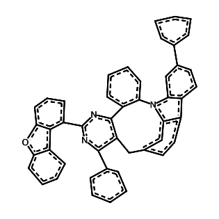 c1ccc(-c2ccc3c4ccc5cc4n(c3c2)-c2ccccc2-c2nc(-c3cccc4oc6ccccc6c34)nc(-c3ccccc3)c2C5)cc1